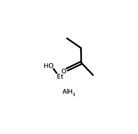 CCC(C)=O.CCO.[AlH3]